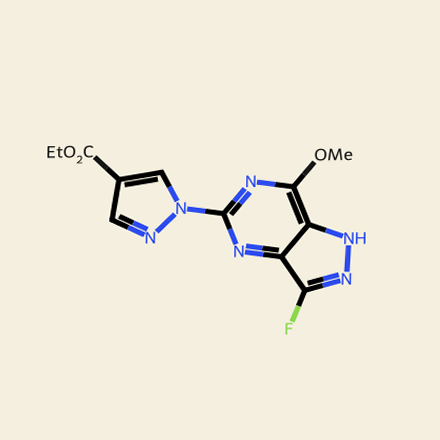 CCOC(=O)c1cnn(-c2nc(OC)c3[nH]nc(F)c3n2)c1